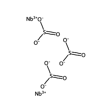 O=S([O-])[O-].O=S([O-])[O-].O=S([O-])[O-].[Nb+3].[Nb+3]